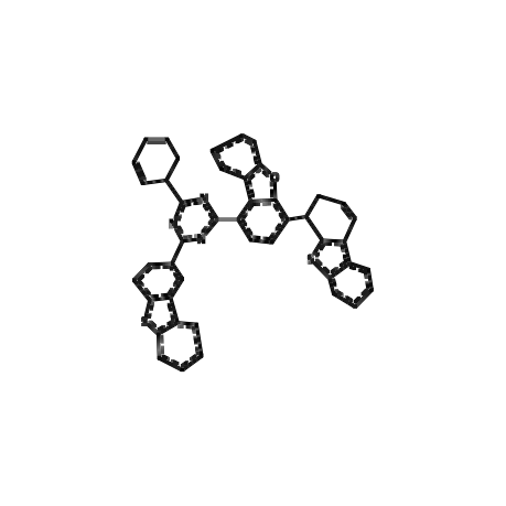 C1=CCC(c2nc(-c3ccc4sc5ccccc5c4c3)nc(-c3ccc(C4CC=Cc5c4sc4ccccc54)c4oc5ccccc5c34)n2)C=C1